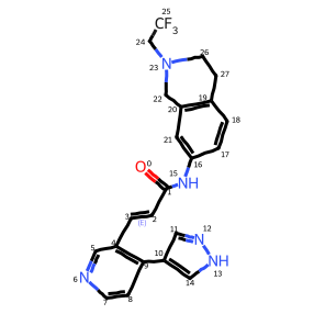 O=C(/C=C/c1cnccc1-c1cn[nH]c1)Nc1ccc2c(c1)CN(CC(F)(F)F)CC2